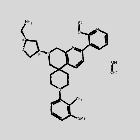 CCOc1ncccc1-c1ccc2c(n1)CN([C@H]1CO[C@@H](CN)C1)CC21CCN(c2cccc(OC)c2C(F)(F)F)CC1.O=CO